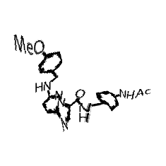 COc1ccc(CNc2ccc3ncc(C(=O)Nc4ccc(NC(C)=O)cc4)n3n2)cc1